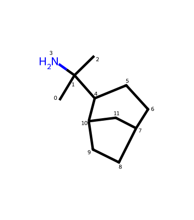 CC(C)(N)C1CCC2CCC1C2